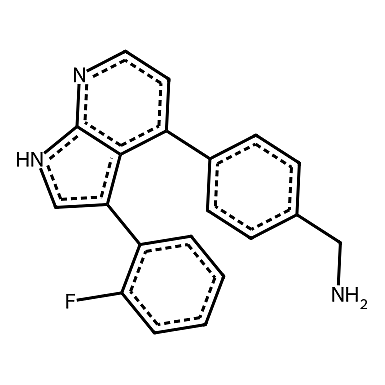 NCc1ccc(-c2ccnc3[nH]cc(-c4ccccc4F)c23)cc1